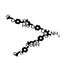 CCC(C)(CC(O)COc1ccc(COC(CN)C(C)C(C)(CC)OCc2ccc(OCC(O)CC(C)(CC)OCc3ccc(OCC4CO4)cc3)cc2)cc1)OCc1ccc(OCC2CO2)cc1